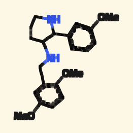 COc1cccc(C2NCCCC2NCc2cc(OC)ccc2OC)c1